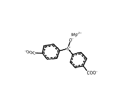 O=C([O-])c1ccc([S+]([O-])c2ccc(C(=O)[O-])cc2)cc1.[Mg+2]